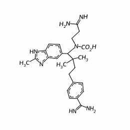 Cc1nc2cc(C(N(CCC(=N)N)C(=O)O)C(C)(C)CCc3ccc(C(=N)N)cc3)ccc2[nH]1